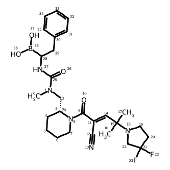 CN(C[C@H]1CCCCN1C(=O)C(C#N)=CC(C)(C)N1CCC(F)(F)C1)C(=O)NC(Cc1ccccc1)B(O)O